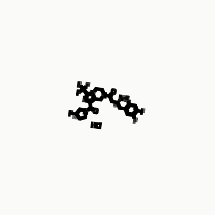 Cl.N[C@@H](CC(=O)N1CCn2c(C(F)(F)F)nc(C(=O)N3CC[C@@H](F)C3)c2C1)Cc1cc(F)c(F)cc1F